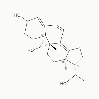 CC(O)[C@H]1CCC2=C3C=CC4=CC(O)CC[C@]4(CO)[C@H]3CC[C@@]21C